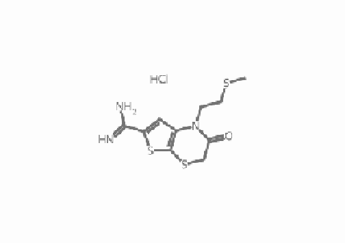 CSCCN1C(=O)CSc2sc(C(=N)N)cc21.Cl